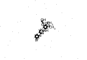 COc1cc(Nc2nccc(Sc3cccc(Br)c3)n2)cc(OCCO)c1OC